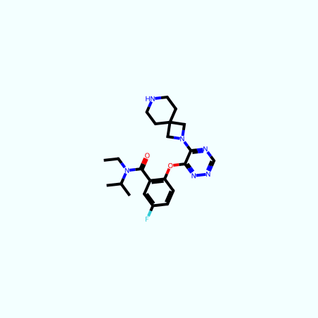 CCN(C(=O)c1cc(F)ccc1Oc1nncnc1N1CC2(CCNCC2)C1)C(C)C